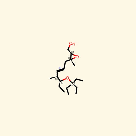 CC[C@H](O[Si](CC)(CC)CC)[C@@H](C)/C=C/C[C@@]1(C)O[C@@H]1CO